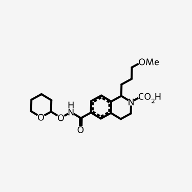 COCCCC1c2ccc(C(=O)NOC3CCCCO3)cc2CCN1C(=O)O